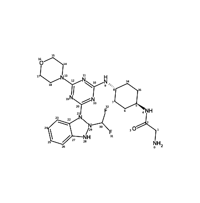 NCC(=O)N[C@H]1CC[C@H](Nc2nc(N3CCOCC3)nc(N3c4ccccc4NN3C(F)F)n2)CC1